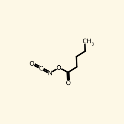 CCCCC(=O)ON=C=O